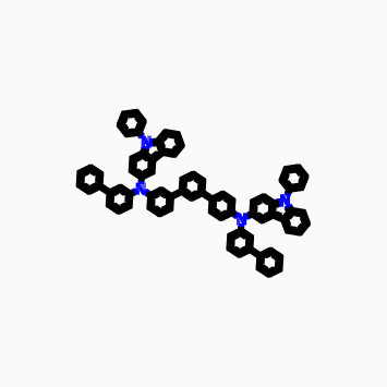 c1ccc(-c2cccc(N(c3ccc(-c4cccc(-c5cccc(N(c6cccc(-c7ccccc7)c6)c6ccc7c(c6)c6ccccc6n7-c6ccccc6)c5)c4)cc3)c3ccc4c(c3)c3ccccc3n4-c3ccccc3)c2)cc1